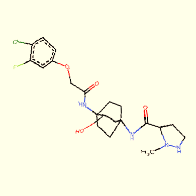 CN1NCCC1C(=O)NC12CCC(NC(=O)COc3ccc(Cl)c(F)c3)(CC1)C(O)C2